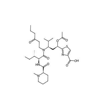 CCCC(=O)CCN(C(=O)[C@@H](NC(=O)[C@H]1CCCCN1C)[C@@H](C)CC)[C@H](C[C@@H](OC(C)=O)c1nc(C(=O)O)cs1)C(C)C